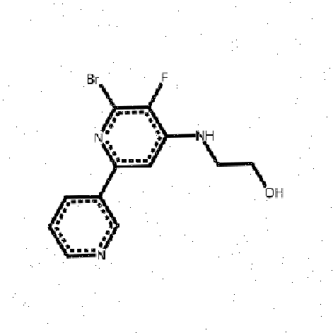 OCCNc1cc(-c2cccnc2)nc(Br)c1F